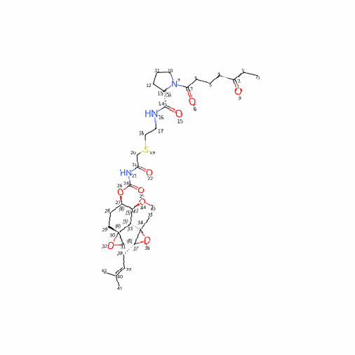 CCC(=O)CCCC(=O)N1CCC[C@H]1C(=O)NCCSCC(=O)NC(=O)O[C@@H]1CC[C@]2(CO2)[C@@H](C2(C)O[C@@H]2CC=C(C)C)[C@@H]1OC